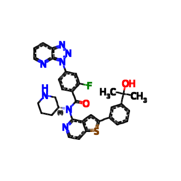 CC(C)(O)c1cccc(-c2cc3c(N(C(=O)c4ccc(-n5nnc6cccnc65)cc4F)[C@@H]4CCCNC4)nccc3s2)c1